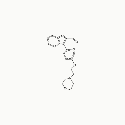 O=Cc1cc2ccccn2c1-c1ccc(OCCN2CCOCC2)cn1